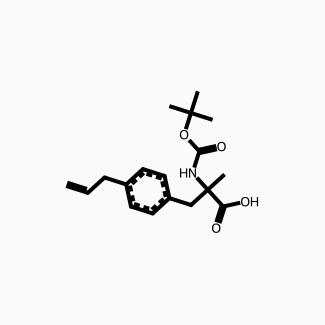 C=CCc1ccc(CC(C)(NC(=O)OC(C)(C)C)C(=O)O)cc1